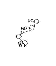 N#Cc1ccccc1N1CCN(CC(O)COc2cccc(-c3noc4ncccc34)c2)CC1